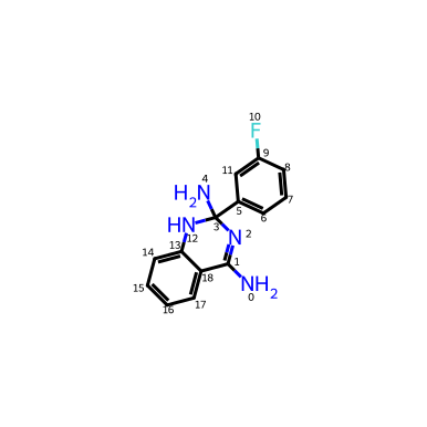 NC1=NC(N)(c2cccc(F)c2)Nc2ccccc21